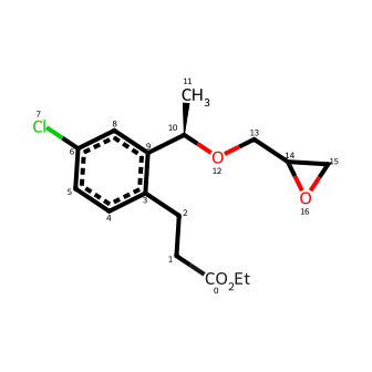 CCOC(=O)CCc1ccc(Cl)cc1[C@@H](C)OCC1CO1